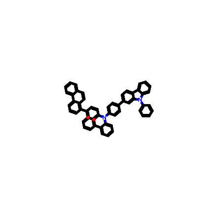 c1ccc(-c2ccccc2N(c2ccc(-c3ccc4c5ccccc5n(-c5ccccc5)c4c3)cc2)c2ccc(-c3cccc4c3ccc3ccccc34)cc2)cc1